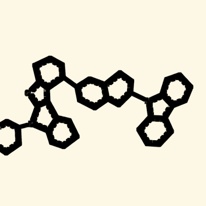 c1ccc(-n2c3ccccc3c3c4c(-c5ccc6cc(-n7c8ccccc8c8ccccc87)ccc6c5)cccc4oc32)cc1